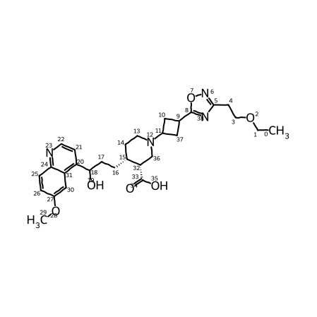 CCOCCc1noc(C2CC(N3CC[C@@H](CCC(O)c4ccnc5ccc(OC)cc45)[C@@H](C(=O)O)C3)C2)n1